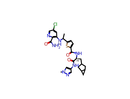 CC(Nc1cc(Cl)cnc1C(N)=O)c1ccc(C(=O)N[C@@H](CC2CC3CC3C2)C(=O)Nc2cnn(C)c2)s1